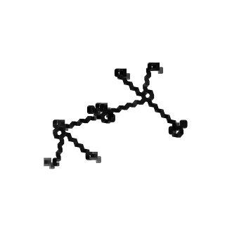 CCCCCCCCC1C(CCCCCC)CCC(C)C1CCCCCCCCN(C(C)=O)C1CCON(CCCCCCCCC2C(CCCCCCCCN3OCC=CC3=O)CCC(CCCCCC)C2CCCCCCCC)C1=O